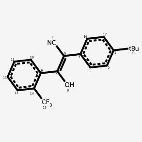 CC(C)(C)c1ccc(C(C#N)=C(O)c2ccccc2C(F)(F)F)cc1